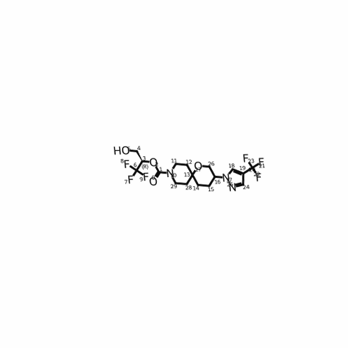 O=C(O[C@H](CO)C(F)(F)F)N1CCC2(CCC(n3cc(C(F)(F)F)cn3)CO2)CC1